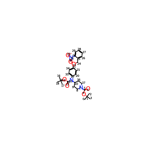 CC(C)(C)OC(=O)N1CCC(N(C(=O)OC(C)(C)C)c2ccc(OCc3ccccc3[N+](=O)[O-])cc2)CC1